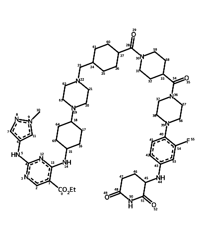 CCOC(=O)c1cnc(Nc2cnn(C)c2)nc1NC1CCC(N2CCN(CC3CCC(C(=O)N4CCC(C(=O)N5CCN(c6ccc(NC7CCC(=O)NC7=O)cc6F)CC5)CC4)CC3)CC2)CC1